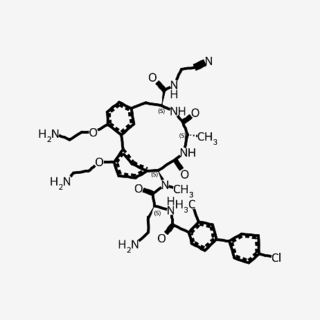 Cc1cc(-c2ccc(Cl)cc2)ccc1C(=O)N[C@@H](CCN)C(=O)N(C)[C@@H]1C(=O)N[C@@H](C)C(=O)N[C@H](C(=O)NCC#N)Cc2ccc(OCCN)c(c2)-c2cc1ccc2OCCN